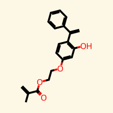 C=C(C)C(=O)OCCOc1ccc(C(=C)c2ccccc2)c(O)c1